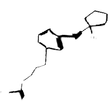 O=C(NCCCc1cccc(C#CC2(O)CCCC2)c1)C(F)(F)F